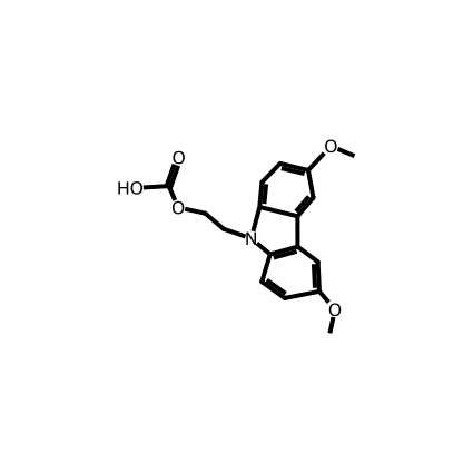 COc1ccc2c(c1)c1cc(OC)ccc1n2CCOC(=O)O